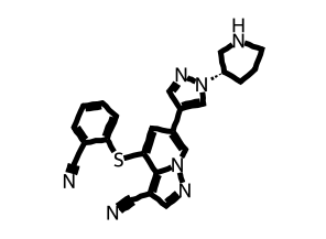 N#Cc1ccccc1Sc1cc(-c2cnn([C@H]3CCCNC3)c2)cn2ncc(C#N)c12